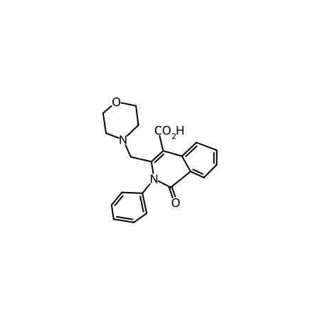 O=C(O)c1c(CN2CCOCC2)n(-c2ccccc2)c(=O)c2ccccc12